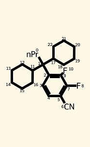 CCCC(c1ccc(C#N)c(F)c1F)(C1CCCCC1)C1CCCCC1